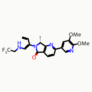 C=C/C(=C\NCC(F)(F)F)N1C(=O)c2ccc(-c3cnc(OC)c(OC)c3)nc2[C@H]1C